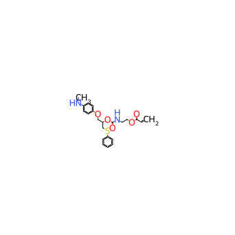 C=CC(=O)OCCNC(=O)OC(COc1ccc(NC)cc1)CSc1ccccc1